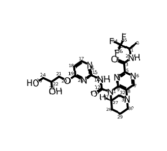 CC(NC(=O)c1ncc2c(n1)N(C(=O)Nc1nccc(OCC(O)CO)n1)[C@H]1CCCN2C1)C(F)(F)F